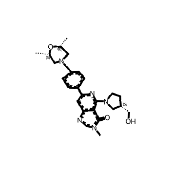 C[C@@H]1CN(c2ccc(-c3cc4ncn(C)c(=O)c4c(N4CC[C@H](CO)C4)n3)cc2)C[C@H](C)O1